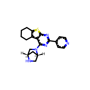 c1cc(-c2nc(N3C[C@@H]4C[C@H]3CN4)c3c4c(sc3n2)CCCC4)ccn1